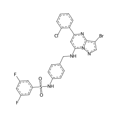 O=S(=O)(Nc1ccc(CNc2cc(-c3ccccc3Cl)nc3c(Br)cnn23)cc1)c1cc(F)cc(F)c1